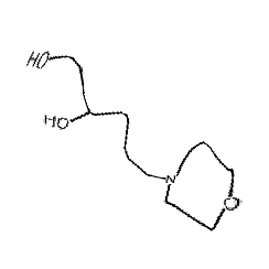 OCC(O)CCN1CCOCC1